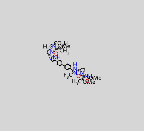 COC(=O)N[C@H](C(=O)N1CCC[C@H]1c1nc(C(F)(F)F)c(-c2ccc(-c3ccc(-c4cnc([C@@H]5CCCN5C(=O)[C@H]([C@@H](C)OC)N(C)C(=O)O)[nH]4)cc3)cc2)[nH]1)[C@@H](C)OC